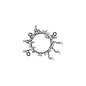 CCCN1C(=O)N[C@@H](Cc2c[nH]cn2)C(=O)N[C@H](Cc2ccccc2)C(=O)N[C@@H](Cc2c[nH]cn2)C(=O)N[C@@H](CCc2c[nH]c3ccccc23)C(=O)N[C@@H](C)C(=O)N[C@@H](C)C(=O)N[C@@H](CCCCN)C(=O)N[C@@H](CCCCN)C(=O)N[C@@H](CCCCN)C(=O)N[C@@H](Cc2c[nH]c3ccccc23)C(=O)NC(SSC)C1=O